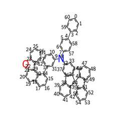 c1ccc(-c2ccc(N(c3cccc(-c4cccc5ccc6oc7ccccc7c6c45)c3)c3ccc4c(c3)-c3ccccc3C43c4ccccc4-c4ccccc43)cc2)cc1